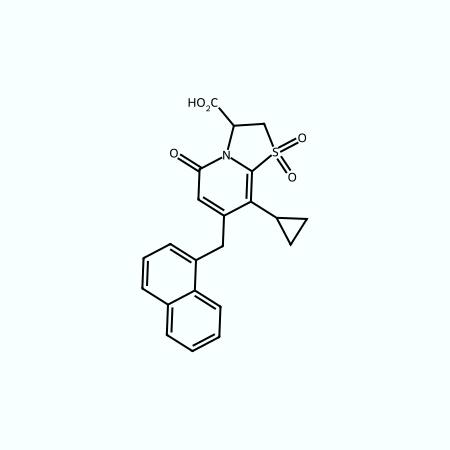 O=C(O)C1CS(=O)(=O)c2c(C3CC3)c(Cc3cccc4ccccc34)cc(=O)n21